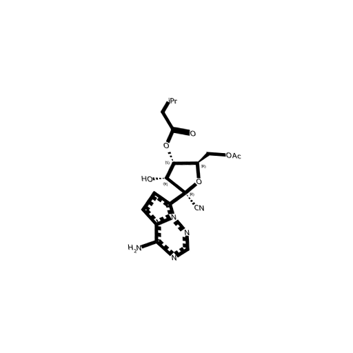 CC(=O)OC[C@H]1O[C@@](C#N)(c2ccc3c(N)ncnn23)[C@H](O)[C@@H]1OC(=O)CC(C)C